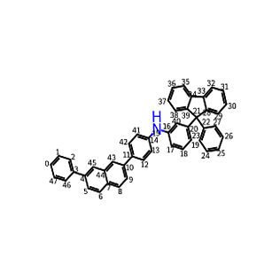 c1ccc(-c2ccc3ccc(-c4ccc(Nc5cccc(C6(c7ccccc7)c7ccccc7-c7ccccc76)c5)cc4)cc3c2)cc1